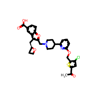 CC(=O)c1cc(Cl)c(COc2cccc(C3CCN(Cc4oc5ccc(C(=O)O)cc5c4C[C@@H]4CCO4)CC3)n2)s1